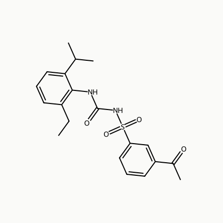 CCc1cccc(C(C)C)c1NC(=O)NS(=O)(=O)c1cccc(C(C)=O)c1